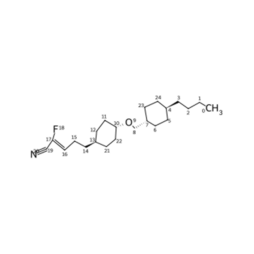 CCCC[C@H]1CC[C@H](CO[C@H]2CC[C@H](CCC=C(F)C#N)CC2)CC1